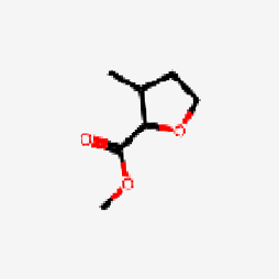 COC(=O)C1OCCC1C